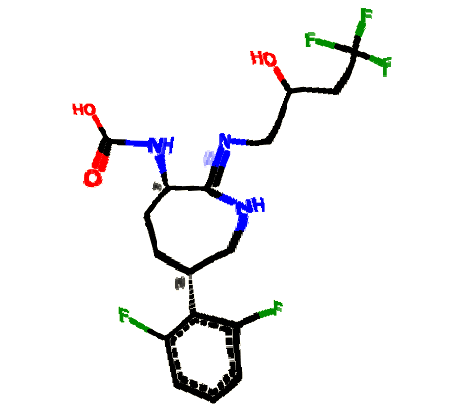 O=C(O)N[C@@H]1CC[C@@H](c2c(F)cccc2F)CN/C1=N\CC(O)CC(F)(F)F